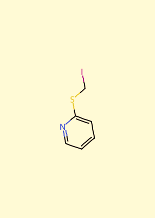 ICSc1ccccn1